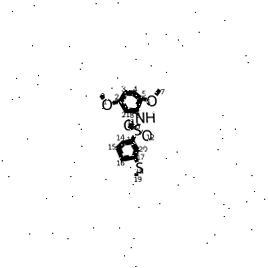 COc1ccc(OC)c(NS(=O)(=O)c2cccc(SC)c2)c1